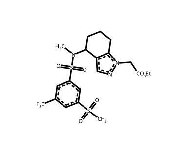 CCOC(=O)Cn1ncc2c1CCCC2N(C)S(=O)(=O)c1cc(C(F)(F)F)cc(S(C)(=O)=O)c1